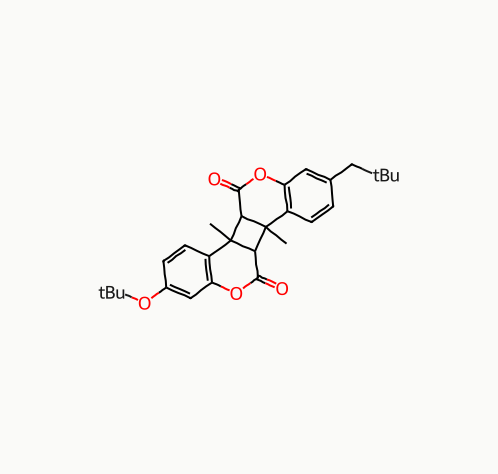 CC(C)(C)Cc1ccc2c(c1)OC(=O)C1C2(C)C2C(=O)Oc3cc(OC(C)(C)C)ccc3C12C